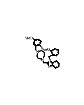 COc1ccc(F)c(CN2CCCN(Cc3nc4ccccc4n3Cc3ccccc3OC)CC2)c1